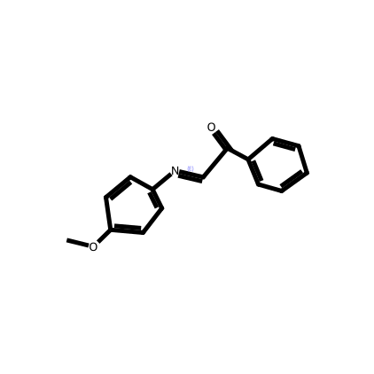 COc1ccc(/N=C/C(=O)c2ccccc2)cc1